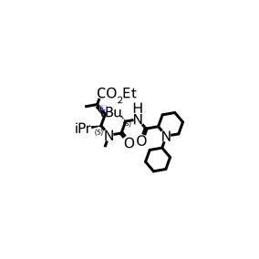 CCOC(=O)/C(C)=C/[C@H](C(C)C)N(C)C(=O)[C@@H](NC(=O)C1CCCCN1C1CCCCC1)C(C)(C)C